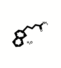 NC(=O)CCCc1ccc2ccccc2c1.O